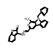 Cc1nc(/C=N/NC2=c3ccccc3=NC2=O)cc2c3ccccc3n(Cc3ccccc3)c12